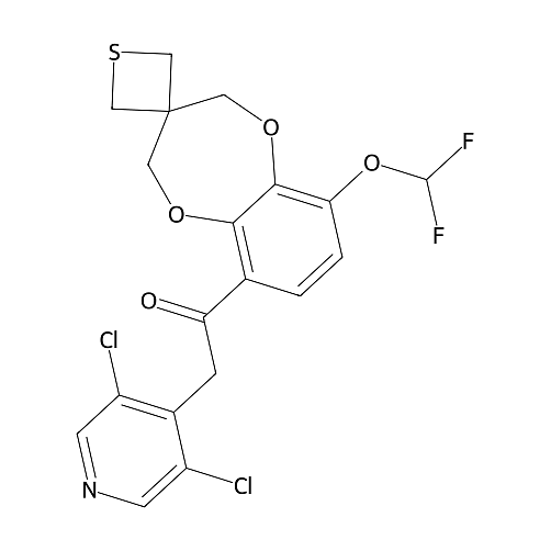 O=C(Cc1c(Cl)cncc1Cl)c1ccc(OC(F)F)c2c1OCC1(CO2)CSC1